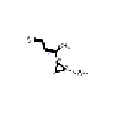 C=C/C=C(\C)[C@@H]1C[C@H]1C(=O)OCC